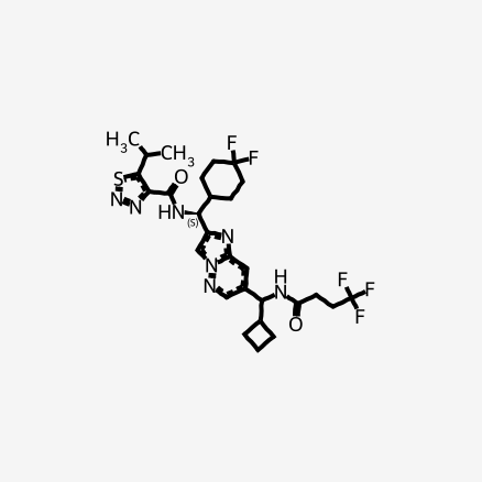 CC(C)c1snnc1C(=O)N[C@H](c1cn2ncc(C(NC(=O)CCC(F)(F)F)C3CCC3)cc2n1)C1CCC(F)(F)CC1